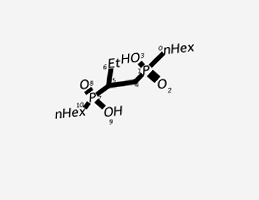 CCCCCCP(=O)(O)CC(CC)P(=O)(O)CCCCCC